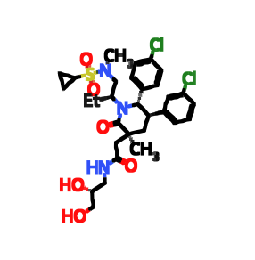 CC[C@@H](CN(C)S(=O)(=O)C1CC1)N1C(=O)[C@](C)(CC(=O)NC[C@@H](O)CO)C[C@H](c2cccc(Cl)c2)[C@H]1c1ccc(Cl)cc1